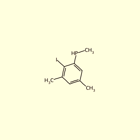 CPc1cc(C)cc(C)c1I